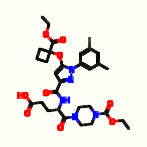 CCOC(=O)N1CCN(C(=O)C(CCC(=O)O)NC(=O)c2cc(OC3(C(=O)OCC)CCC3)n(-c3cc(C)cc(C)c3)n2)CC1